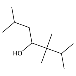 CC(C)CC(O)C(C)(C)C(C)C